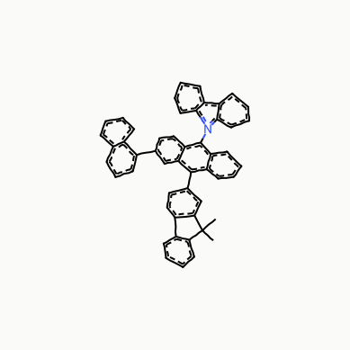 CC1(C)c2ccccc2-c2ccc(-c3c4ccccc4c(-n4c5ccccc5c5ccccc54)c4ccc(-c5cccc6ccccc56)cc34)cc21